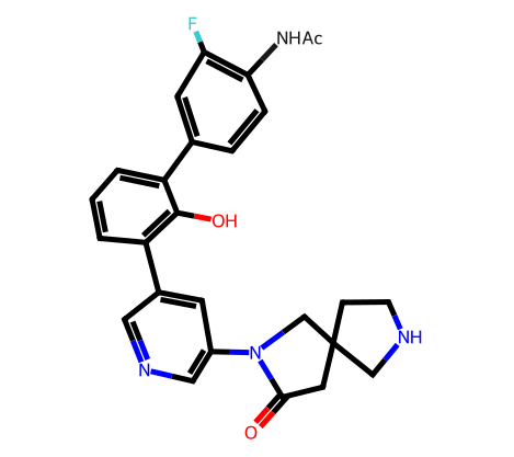 CC(=O)Nc1ccc(-c2cccc(-c3cncc(N4CC5(CCNC5)CC4=O)c3)c2O)cc1F